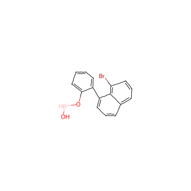 OBOc1ccccc1-c1cccc2cccc(Br)c12